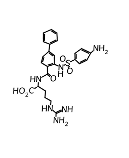 N=C(N)NCCC[C@H](NC(=O)c1ccc(-c2ccccc2)cc1NS(=O)(=O)c1ccc(N)cc1)C(=O)O